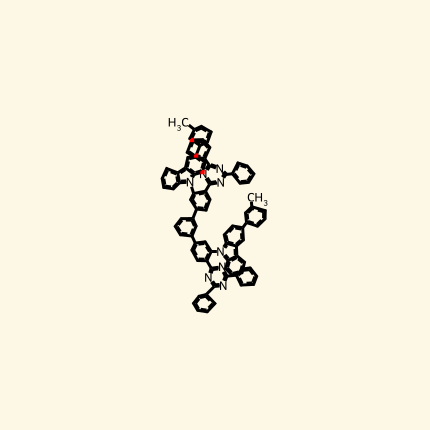 Cc1cccc(-c2ccc3c(c2)c2ccccc2n3-c2cc(-c3cccc(-c4ccc(-c5nc(-c6ccccc6)nc(-c6ccccc6)n5)c(-n5c6ccccc6c6cc(-c7cccc(C)c7)ccc65)c4)c3)ccc2-c2nc(-c3ccccc3)nc(-c3ccccc3)n2)c1